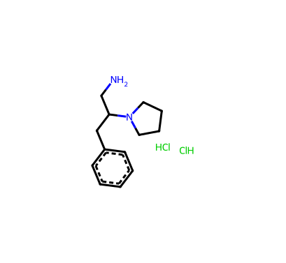 Cl.Cl.NCC(Cc1ccccc1)N1CCCC1